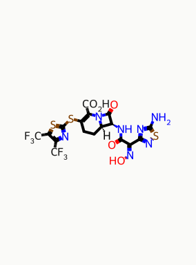 Nc1nc(/C(=N/O)C(=O)N[C@@H]2C(=O)N3C(C(=O)O)=C(Sc4nc(C(F)(F)F)c(C(F)(F)F)s4)CC[C@H]23)ns1